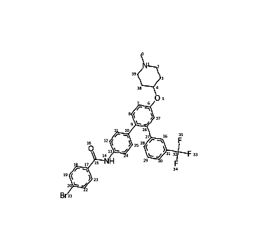 CN1CCC(Oc2ccc(-c3ccc(NC(=O)c4ccc(Br)cc4)cc3)c(-c3cccc(C(F)(F)F)c3)c2)CC1